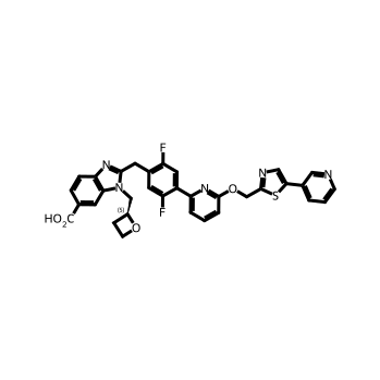 O=C(O)c1ccc2nc(Cc3cc(F)c(-c4cccc(OCc5ncc(-c6cccnc6)s5)n4)cc3F)n(C[C@@H]3CCO3)c2c1